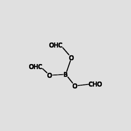 O=COB(OC=O)OC=O